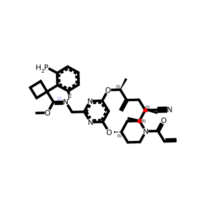 C=CC(=O)N1CC[C@H](Oc2cc(O[C@@H](C)C(=C)C[C@@H](C)CC)nc(C/N=C(\OC)C3(c4c(F)cccc4P)CCC3)n2)C[C@H]1CC#N